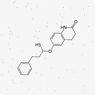 O=C1CCc2cc(OC(S)CCc3ccccc3)ccc2N1